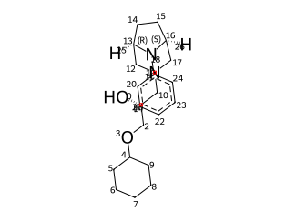 O[C@@H](COC1CCCCC1)CN1C[C@H]2CC[C@@H](C1)N2c1ccccc1